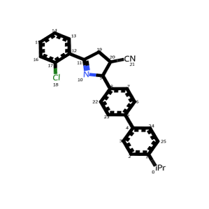 CC(C)c1ccc(-c2ccc(C3N=C(c4ccccc4Cl)CC3C#N)cc2)cc1